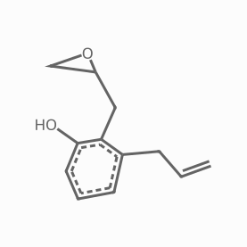 C=CCc1cccc(O)c1CC1CO1